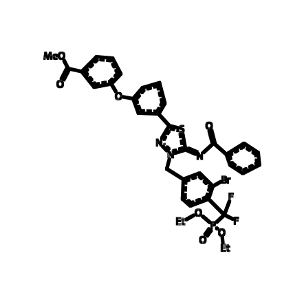 CCOP(=O)(OCC)C(F)(F)c1ccc(Cn2nc(-c3cccc(Oc4cccc(C(=O)OC)c4)c3)sc2=NC(=O)c2ccccc2)cc1Br